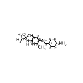 Cc1nc(NC(C)(C)C)ccc1NCC1CCC(N)CC1